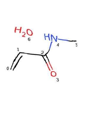 C=CC(=O)NC.O